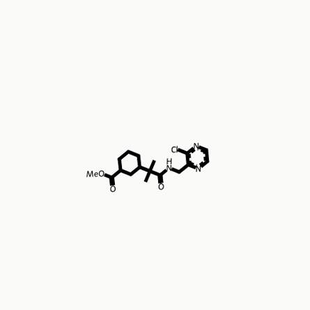 COC(=O)C1CCCC(C(C)(C)C(=O)NCc2nccnc2Cl)C1